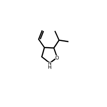 C=CC1CNOC1C(C)C